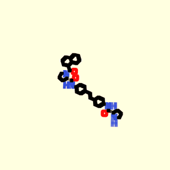 O=C(Nc1ccc(/C=C/c2ccc(NC(=O)[C@@H]3CCCN3C(=O)c3cccc4ccccc34)cc2)cc1)[C@@H]1CCCN1